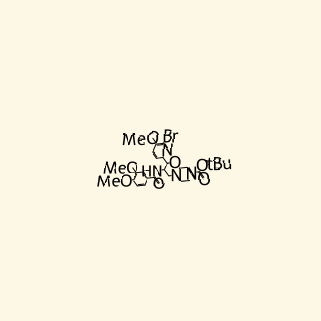 COc1ccc(C(=O)NC(CN2CCN(C(=O)OC(C)(C)C)CC2)C(=O)c2ccc(OC)c(Br)n2)cc1OC